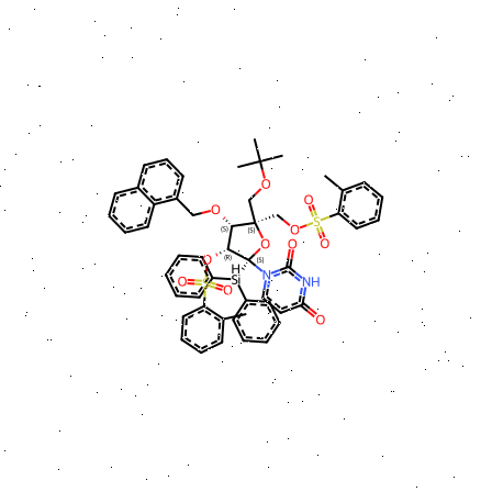 Cc1ccccc1S(=O)(=O)OC[C@]1(COC(C)(C)C)O[C@](n2ccc(=O)[nH]c2=O)([SiH](c2ccccc2)c2ccccc2)[C@H](OS(=O)(=O)c2ccccc2C)[C@@H]1OCc1cccc2ccccc12